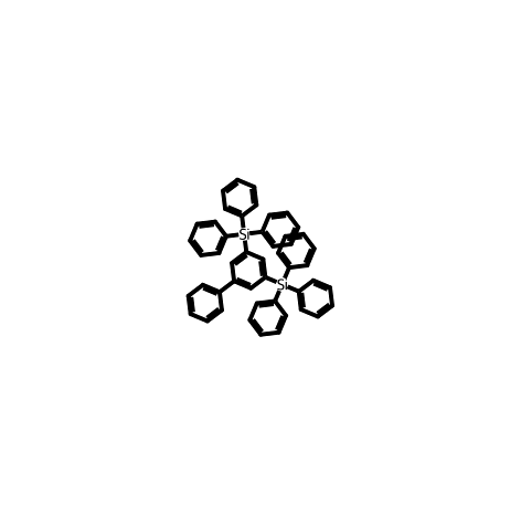 c1ccc(-c2cc([Si](c3ccccc3)(c3ccccc3)c3ccccc3)cc([Si](c3ccccc3)(c3ccccc3)c3ccccc3)c2)cc1